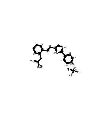 O=C(O)Cc1ccccc1/C=C/c1csc(-c2ccc(OC(F)(F)F)cc2)n1